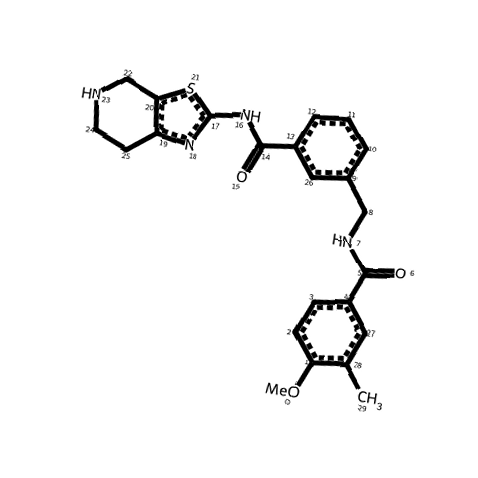 COc1ccc(C(=O)NCc2cccc(C(=O)Nc3nc4c(s3)CNCC4)c2)cc1C